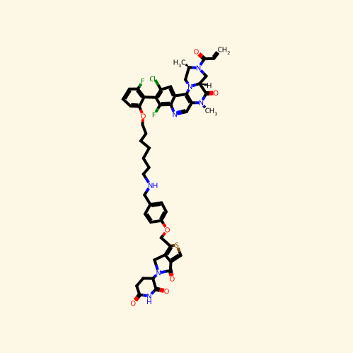 C=CC(=O)N1C[C@@H]2C(=O)N(C)c3cnc4c(F)c(-c5c(F)cccc5OCCCCCCCNCc5ccc(OCc6scc7c6CN(C6CCC(=O)NC6=O)C7=O)cc5)c(Cl)cc4c3N2C[C@H]1C